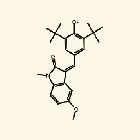 COc1ccc2c(c1)C(=Cc1cc(C(C)(C)C)c(O)c(C(C)(C)C)c1)C(=O)N2C